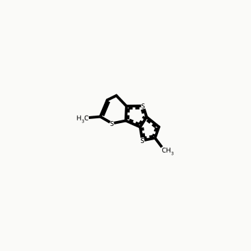 CC1=CCc2sc3cc(C)sc3c2S1